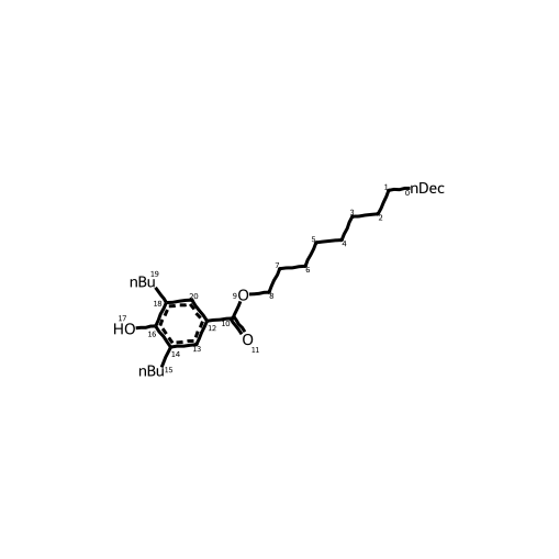 CCCCCCCCCCCCCCCCCCOC(=O)c1cc(CCCC)c(O)c(CCCC)c1